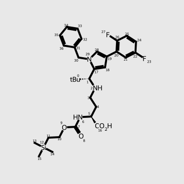 CC(C)(C)[C@@H](NCC[C@H](NC(=O)OCC[Si](C)(C)C)C(=O)O)c1cc(-c2cc(F)ccc2F)cn1Cc1ccccc1